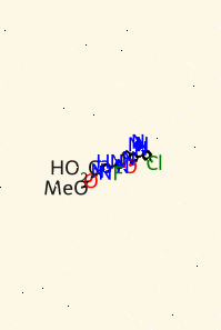 COCCOCCN(C(=O)O)c1ccc(-c2[nH]c([C@@H]3CCc4cc(-c5cc(Cl)ccc5-n5cnnn5)cc(=O)n43)nc2F)cn1